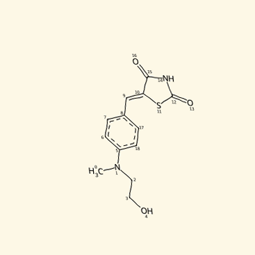 CN(CCO)c1ccc(/C=C2\SC(=O)NC2=O)cc1